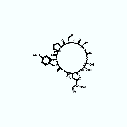 CC[C@H](C)[C@H]1NC(=O)[C@@H](CC(=O)[C@@H](CC(C)C)NC)[C@@H](C)OC(=O)[C@H](Cc2ccc(OC)cc2)N(C)C(=O)[C@@H]2CCCN2C(=O)[C@H](CC(C)C)NC(=O)[C@H](C(C)C)OC(=O)C[C@@H]1O